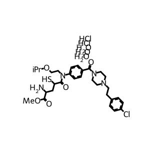 COC(=O)C(N)CC(S)C(=O)N(CCOC(C)C)c1ccc(C(=O)N2CCN(CCc3ccc(Cl)cc3)CC2)cc1.Cl.Cl.O.O.O